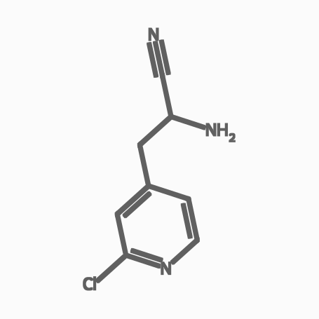 N#CC(N)Cc1ccnc(Cl)c1